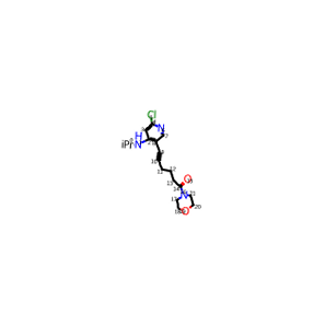 CC(C)Nc1cc(Cl)ncc1C#CCCCC(=O)N1CCOCC1